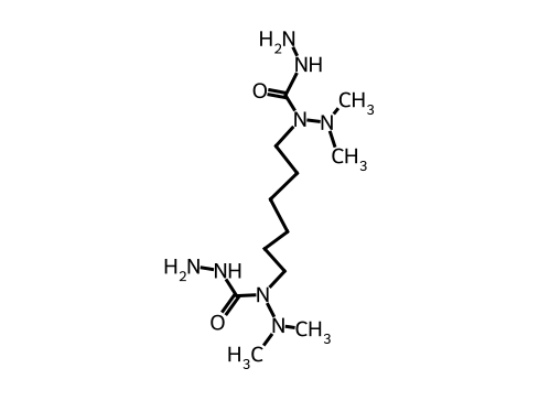 CN(C)N(CCCCCCN(C(=O)NN)N(C)C)C(=O)NN